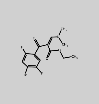 CCOC(=O)C(=CN(C)C)C(=O)c1cc(F)c(Br)cc1F